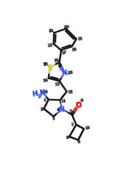 NC1CCN(C(=O)C2CCC2)C1Cc1csc(-c2ccccc2)n1